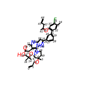 C=CCOC1(C)CCN(c2c(C(OC(C)(C)C)C(=O)O)c(C)nc3cc(-c4cccc(-c5cc(C)c(F)cc5OC(C)CC=C)c4)nn23)CC1